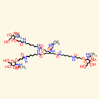 CNCC(=O)NC(CCCOC(=O)NCCCCCCNC(=O)CCCOC1OC(CO)C(O)C(O)C1NC(C)=O)(CCCOC(=O)NCCCCCCNC(=O)CCCOC1OC(CO)C(O)C(O)C1NC(C)=O)CCCOC(=O)NCCCCCCNC(=O)CCCOC1OC(CO)C(O)C(O)C1NC(C)=O